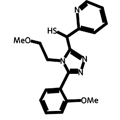 COCCn1c(-c2ccccc2OC)nnc1C(S)c1ccccn1